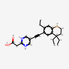 CCc1cc2c(cc1C#Cc1cnc(CC(=O)O)nc1)C(CC)(CC)CCS2